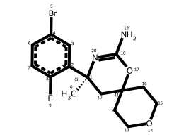 C[C@@]1(c2cc(Br)ccc2F)CC2(CCOCC2)OC(N)=N1